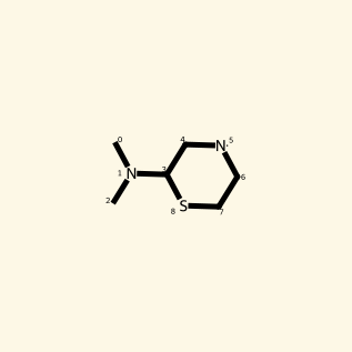 CN(C)C1C[N]CCS1